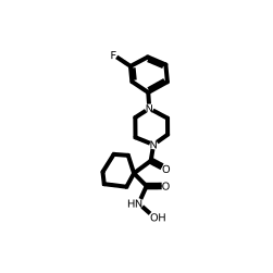 O=C(NO)C1(C(=O)N2CCN(c3cccc(F)c3)CC2)CCCCC1